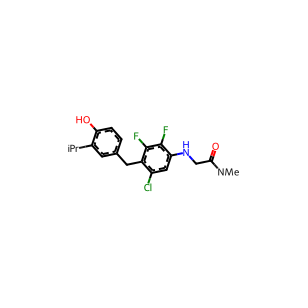 CNC(=O)CNc1cc(Cl)c(Cc2ccc(O)c(C(C)C)c2)c(F)c1F